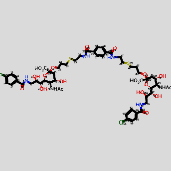 CC(=O)N[C@H]1[C@H]([C@H](O)[C@H](O)CNC(=O)c2ccc(Cl)cc2)O[C@@](OCCCSCCNC(=O)c2ccc(C(=O)NCCSCCCO[C@]3(C(=O)O)C[C@H](O)[C@@H](NC(C)=O)[C@H]([C@H](O)[C@H](O)CNC(=O)c4ccc(Cl)cc4)O3)cc2)(C(=O)O)C[C@@H]1O